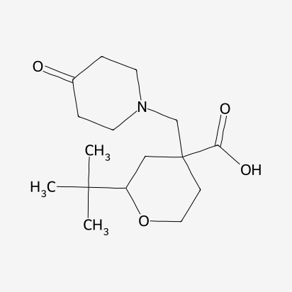 CC(C)(C)C1CC(CN2CCC(=O)CC2)(C(=O)O)CCO1